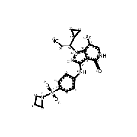 CC(=O)c1c[nH]c(=O)c2c(Nc3ccc(S(=O)(=O)N4CCC4)cc3)nn([C@@H](CC#N)C3CC3)c12